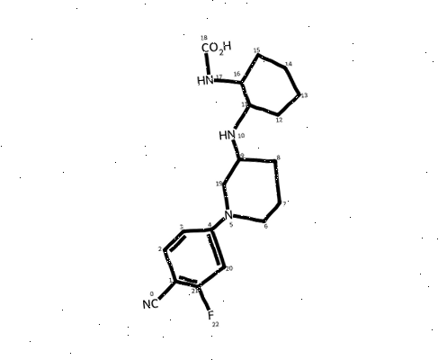 N#Cc1ccc(N2CCCC(NC3CCCCC3NC(=O)O)C2)cc1F